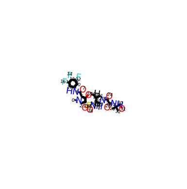 Cn1cc2c(c1C(=O)Nc1cc(F)c(F)c(F)c1)OC[C@@H]1CN(C(=O)C(=O)NC3(C)COC3)C[C@@H]1NS2(=O)=O